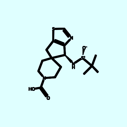 CC(C)(C)[S@@+]([O-])N[C@@H]1c2ncsc2CC12CCN(C(=O)O)CC2